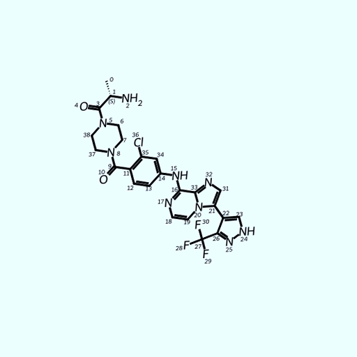 C[C@H](N)C(=O)N1CCN(C(=O)c2ccc(Nc3nccn4c(-c5c[nH]nc5C(F)(F)F)cnc34)cc2Cl)CC1